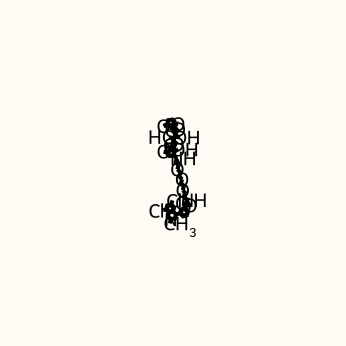 CN1Cc2c(Cl)cc(Cl)cc2C(c2cccc(S(=O)(=O)NCCOCCOCCOCCNC3CC(=O)N(OC(=O)C(O)C(O)C(=O)ON4C(=O)CCC4=O)C3O)c2)C1